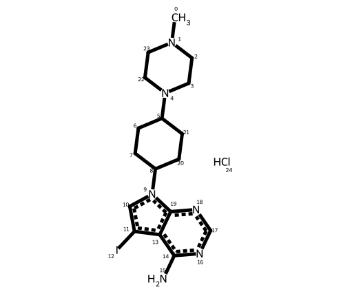 CN1CCN(C2CCC(n3cc(I)c4c(N)ncnc43)CC2)CC1.Cl